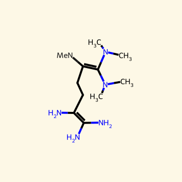 CNC(CCC(N)=C(N)N)=C(N(C)C)N(C)C